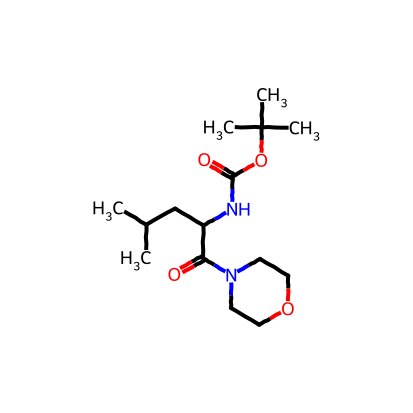 CC(C)CC(NC(=O)OC(C)(C)C)C(=O)N1CCOCC1